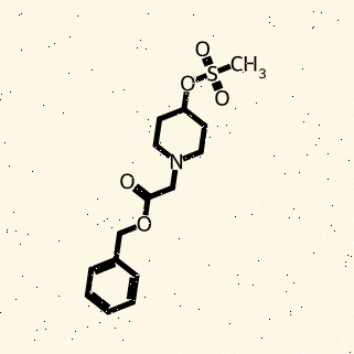 CS(=O)(=O)OC1CCN(CC(=O)OCc2ccccc2)CC1